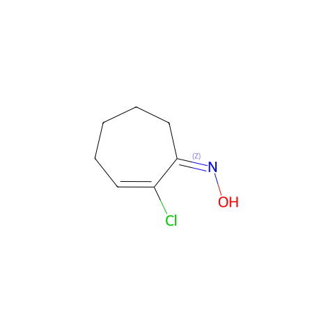 O/N=C1/CCCCC=C1Cl